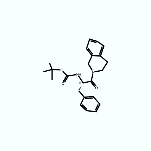 CC(C)(C)OC(=O)N[C@@H](Cc1ccccc1)C(=O)N1CCc2ccccc2C1